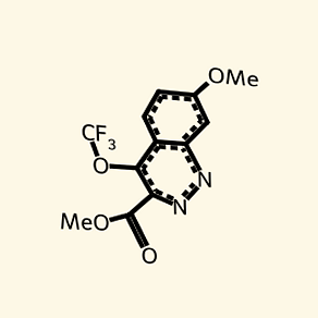 COC(=O)c1nnc2cc(OC)ccc2c1OC(F)(F)F